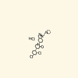 Cl.O=c1cc(-c2ccc(Cl)cc2Cl)ccn1-c1ccc2c(cnn2CCN2CCCC2)c1